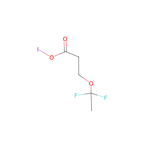 CC(F)(F)OCCC(=O)OI